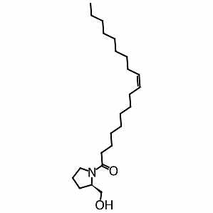 CCCCCCCC/C=C\CCCCCCCC(=O)N1CCC[C@@H]1CO